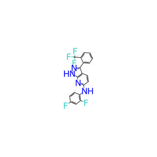 Fc1ccc(Nc2ccc3c(-c4ccccc4C(F)(F)F)n[nH]c3n2)c(F)c1